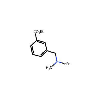 CCCN(C)Cc1cccc(C(=O)OCC)c1